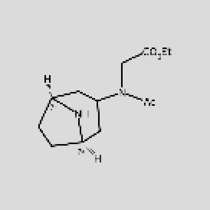 CCOC(=O)CN(C(C)=O)C1C[C@H]2CC[C@@H](C1)N2